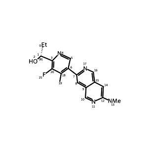 CC[C@@H](O)c1ncc(-c2cc3cnc(NC)cc3cn2)c(C)c1F